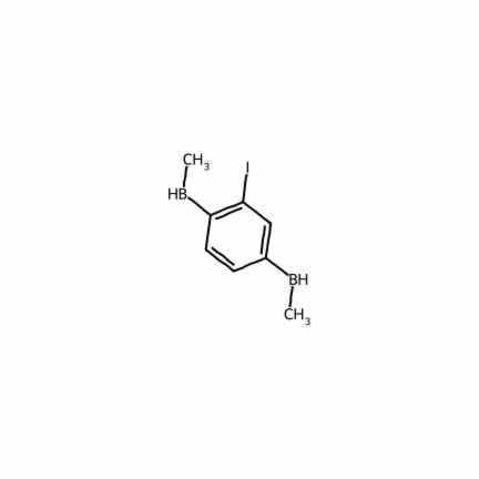 CBc1ccc(BC)c(I)c1